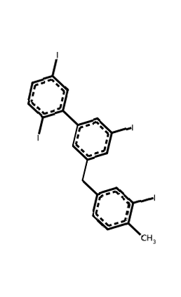 Cc1ccc(Cc2cc(I)cc(-c3cc(I)ccc3I)c2)cc1I